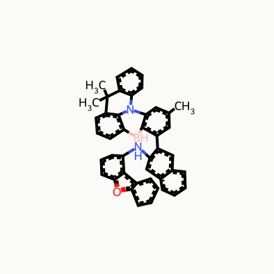 Cc1cc(-c2cc3ccccc3cc2Nc2cccc3oc4ccccc4c23)c2c(c1)N1c3ccccc3C(C)(C)c3cccc(c31)B2